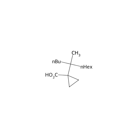 CCCCCCC(C)(CCCC)C1(C(=O)O)CC1